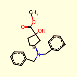 COC(=O)C1(O)CC[C@H](N(Cc2ccccc2)Cc2ccccc2)C1